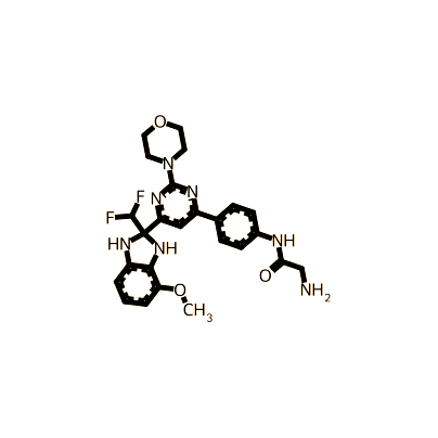 COc1cccc2c1NC(c1cc(-c3ccc(NC(=O)CN)cc3)nc(N3CCOCC3)n1)(C(F)F)N2